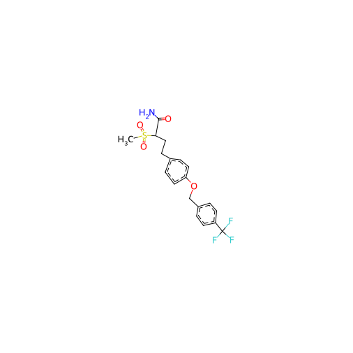 CS(=O)(=O)C(CCc1ccc(OCc2ccc(C(F)(F)F)cc2)cc1)C(N)=O